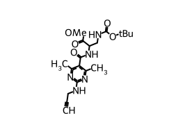 C#CCNc1nc(C)c(C(=O)NC(CNC(=O)OC(C)(C)C)C(=O)OC)c(C)n1